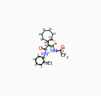 CCc1ccccc1NC(=O)c1c(NC(=O)C(F)(F)F)sc2c1CCCCC2